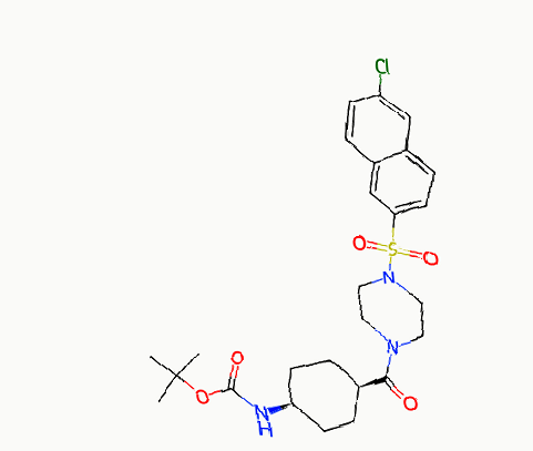 CC(C)(C)OC(=O)N[C@H]1CC[C@@H](C(=O)N2CCN(S(=O)(=O)c3ccc4cc(Cl)ccc4c3)CC2)CC1